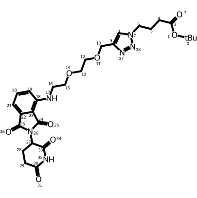 CC(C)(C)OC(=O)CCCn1cc(COCCOCCNc2cccc3c2C(=O)N(C2CCC(=O)NC2=O)C3=O)nn1